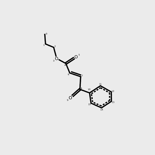 CCCOC(=O)/C=C/C(=O)c1ccccc1